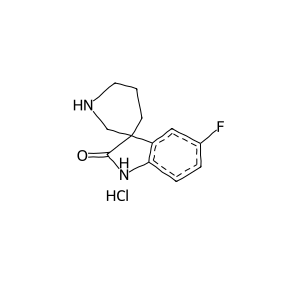 Cl.O=C1Nc2ccc(F)cc2C12CCCNC2